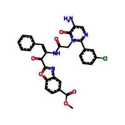 COC(=O)c1ccc2oc(C(=O)C(=Cc3ccccc3)NC(=O)Cn3c(-c4cccc(Cl)c4)ncc(N)c3=O)nc2c1